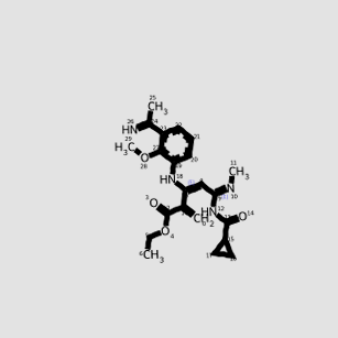 C=C(C(=O)OCC)/C(=C\C(=N/C)NC(=O)C1CC1)Nc1cccc(C(C)=N)c1OC